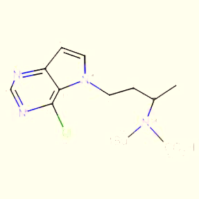 CC(CCn1ccc2ncnc(Cl)c21)N(C(=O)O)C(C)(C)C